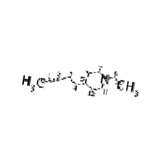 CC#CCCC1CCN(CC)CC1